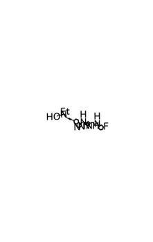 CCN(CCO)CCC#Cc1ccc2c(Nc3cc(CCNc4cccc(F)c4)[nH]n3)ncnc2c1